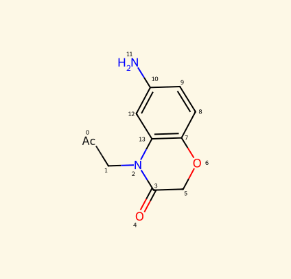 CC(=O)CN1C(=O)COc2ccc(N)cc21